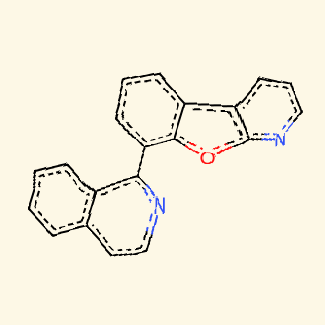 c1ccc2c(-c3cccc4c3oc3ncccc34)nccc2c1